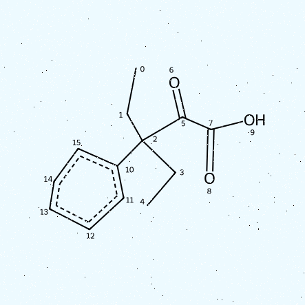 CCC(CC)(C(=O)C(=O)O)c1ccccc1